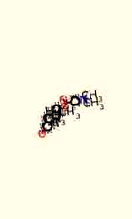 CN(C)c1ccc(C(=O)O[C@H]2CC[C@H]3[C@@H]4CCC5=CC(=O)CC[C@]5(C)[C@H]4CC[C@]23C)cc1